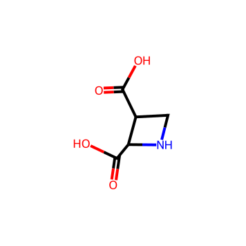 O=C(O)C1CNC1C(=O)O